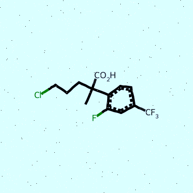 CC(CCCCl)(C(=O)O)c1ccc(C(F)(F)F)cc1F